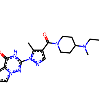 CCN(C)C1CCN(C(=O)c2cnn(-c3nn4cccc4c(=O)[nH]3)c2C)CC1